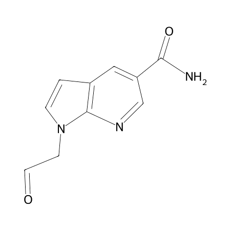 NC(=O)c1cnc2c(ccn2CC=O)c1